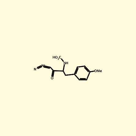 COc1ccc(CC(NC(=O)O)C(=O)C=[N+]=[N-])cc1